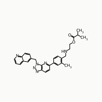 Cc1cc(-c2ccc3nnn(Cc4ccc5ncccc5c4)c3n2)ccc1CNCCOC(=O)C(C)C